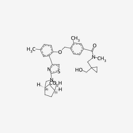 Cc1ccc(OCc2ccc(C(=O)N(C)CC3(CO)CC3)cc2C)c(-c2csc(N3C[C@H]4CC[C@@H](C3)C4C(=O)O)n2)c1